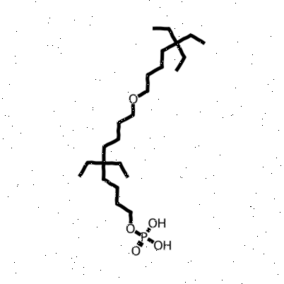 CCC(CC)(CC)CCCCOCCCCC(CC)(CC)CCCCOP(=O)(O)O